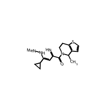 CNN/C(=C\C(=N)C(=O)N1CCc2sccc2C1C)C1CC1